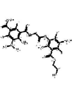 CNC(=O)c1c(I)c(C(=O)NCC(=O)Nc2c(C)c(C(=O)NCCO)c(I)c(C(=O)O)c2I)c(C)c(N(C)C(C)=O)c1I